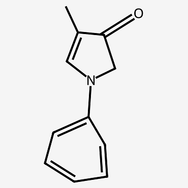 CC1=CN(c2ccccc2)CC1=O